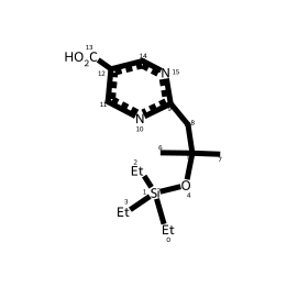 CC[Si](CC)(CC)OC(C)(C)Cc1ncc(C(=O)O)cn1